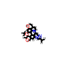 CC(=O)[C@@H](OC(C)(C)C)c1c(C)cc2c(ccc3nc(C(C)C)cn32)c1-c1ccc2c3c(ccnc13)CCO2